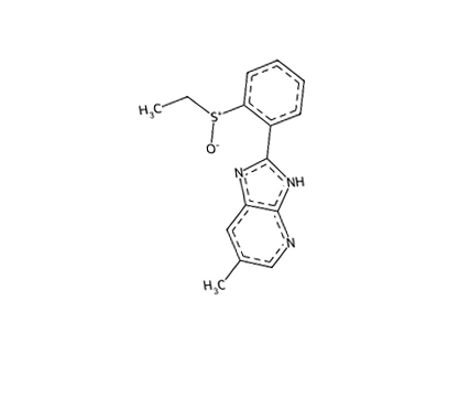 CC[S+]([O-])c1ccccc1-c1nc2cc(C)cnc2[nH]1